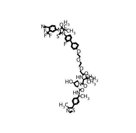 Cc1ncsc1-c1ccc([C@H](C)NC(=O)[C@@H]2C[C@@H](O)CN2C(=O)[C@@H](NC(=O)COCCOCCOc2ccc(-c3ccc(N4C(=S)N(c5ccc(C#N)c(C(F)(F)F)c5)C(=O)C4(C)C)cc3F)cc2)C(C)(C)C)cc1